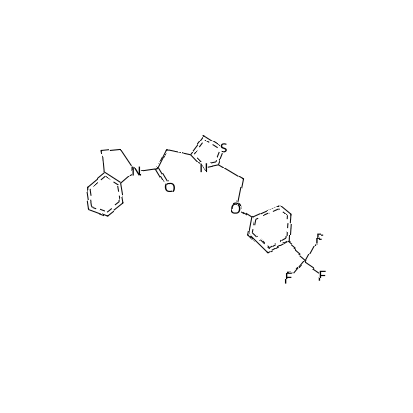 O=C(Cc1csc(COc2ccc(C(F)(F)F)cc2)n1)N1CCc2ccccc21